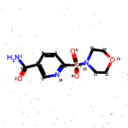 NC(=O)c1ccc(S(=O)(=O)N2CCOCC2)nc1